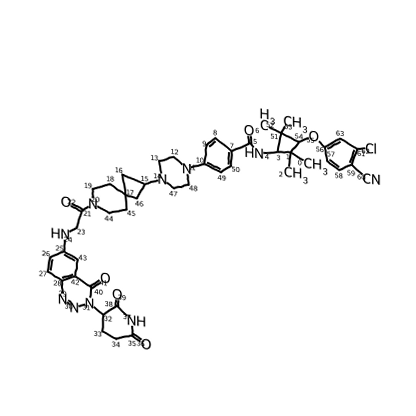 CC1(C)C(NC(=O)c2ccc(N3CCN(C4CC5(CCN(C(=O)CNc6ccc7nnn(C8CCC(=O)NC8=O)c(=O)c7c6)CC5)C4)CC3)cc2)C(C)(C)C1Oc1ccc(C#N)c(Cl)c1